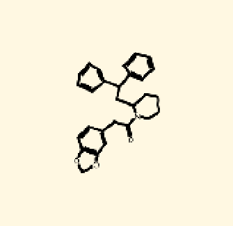 O=C(Cc1ccc2c(c1)OCO2)N1CCCCC1CC(c1ccccc1)c1ccccc1